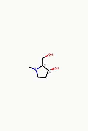 CN1CC[C@H](O)[C@@H]1CO